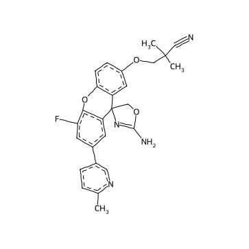 Cc1ccc(-c2cc(F)c3c(c2)C2(COC(N)=N2)c2cc(OCC(C)(C)C#N)ccc2O3)cn1